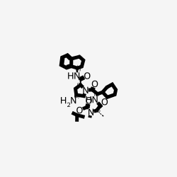 C[C@@H](C(=O)N[C@H](C(=O)N1C[C@@H](N)C[C@H]1C(=O)N[C@@H]1CCCc2ccccc21)C1CCCCC1)N(C)C(=O)OC(C)(C)C